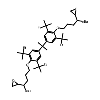 CCCCC(CCCOc1c(C(C)(C)CC)cc(C(C)(C)c2cc(C(C)(C)CC)c(OCCCC(CCCC)C3CO3)c(C(C)(C)CC)c2)cc1C(C)(C)CC)C1CO1